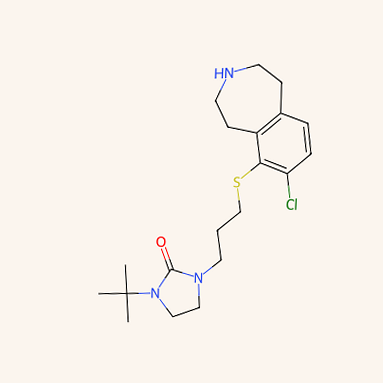 CC(C)(C)N1CCN(CCCSc2c(Cl)ccc3c2CCNCC3)C1=O